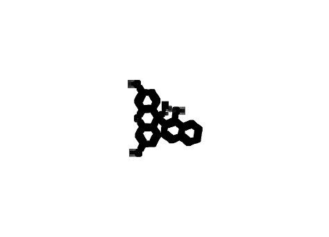 CC1(c2ccc3ccccc3c2O)c2ccc(O)cc2Oc2cc(O)ccc21